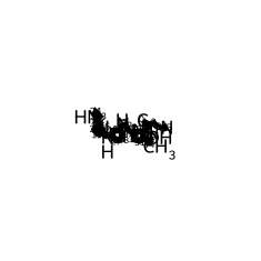 Cc1cc(C#N)nn1-c1nc(-n2cnc3cc(Nc4ccn(C5CCN5)n4)ccc32)ccc1C(C)O